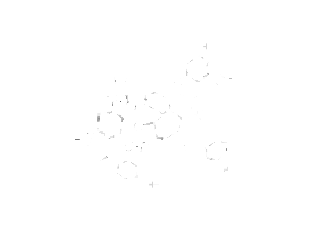 O=C(c1ccc(O)cc1O)c1ccc(O)cc1O.O=c1c(O)cc([C@H]2Oc3cc(O)cc(O)c3C[C@H]2O)cc2c([C@H]3Oc4cc(O)cc(O)c4C[C@H]3O)cc(O)c(O)c12